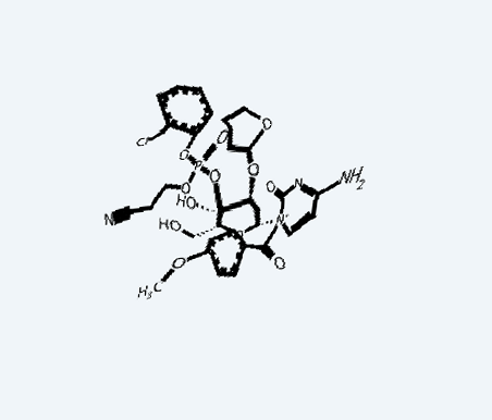 COc1ccc(C(=O)[N+]2([C@@H]3O[C@H](CO)[C@@](O)(OP(=O)(OCCC#N)Oc4ccccc4Cl)[C@H]3OC3CCCO3)C=CC(N)=NC2=O)cc1